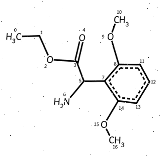 CCOC(=O)C(N)c1c(OC)cccc1OC